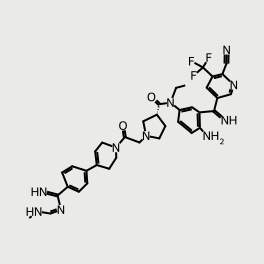 CCN(C(=O)[C@@H]1CCN(CC(=O)N2CC=C(c3ccc(C(=N)/N=C\NC)cc3)CC2)C1)c1ccc(N)c(C(=N)c2cnc(C#N)c(C(F)(F)F)c2)c1